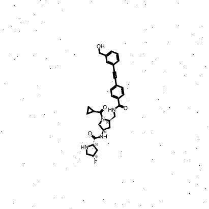 O=C(NC[C@H]1C[C@@H](NC(=O)[C@@H]2C[C@H](F)CN2)CN1C(=O)C1CC1)c1ccc(C#Cc2cccc(CO)c2)cc1